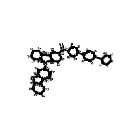 c1ccc(-c2ccc(-c3ccc(Nc4ccc5c(c4)c4ccccc4n5-c4ccc5c(c4)oc4ccccc45)cc3)cc2)cc1